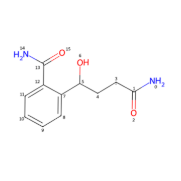 NC(=O)[CH]CC(O)c1ccccc1C(N)=O